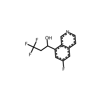 OC(CC(F)(F)F)c1cc(F)cc2ccncc12